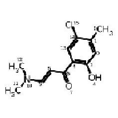 Cc1cc(O)c(C(=O)/C=C/N(C)C)cc1Cl